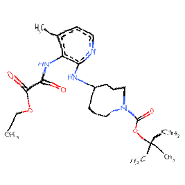 CCOC(=O)C(=O)Nc1c(C)ccnc1NC1CCN(C(=O)OC(C)(C)C)CC1